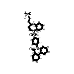 CS(=O)(=O)CCC1C=CN(S(=O)(=O)c2ccc(NC(=O)c3ccccc3-c3ccccc3)cc2)c2ccccc2S1